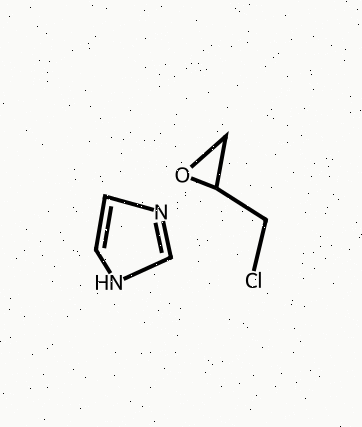 ClCC1CO1.c1c[nH]cn1